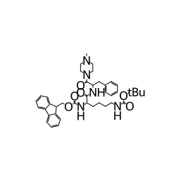 CN1CCN(C(=O)C(Cc2ccccc2)NC(=O)C(CCCCNC(=O)OC(C)(C)C)NC(=O)OCC2c3ccccc3-c3ccccc32)CC1